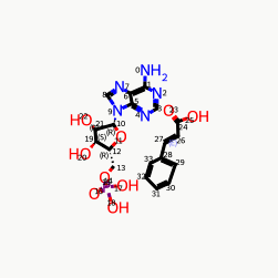 Nc1ncnc2c1ncn2[C@@H]1O[C@H](COP(=O)(O)O)[C@@H](O)[C@H]1O.O=C(O)/C=C/c1ccccc1